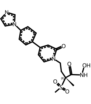 C[C@@](CCn1ccc(-c2ccc(-n3ccnc3)cc2)cc1=O)(C(=O)NO)S(C)(=O)=O